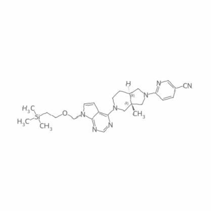 C[C@]12CN(c3ccc(C#N)cn3)C[C@@H]1CCN(c1ncnc3c1ccn3COCC[Si](C)(C)C)C2